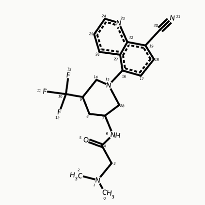 CN(C)CC(=O)NC1CC(C(F)(F)F)CN(c2ccc(C#N)c3ncccc23)C1